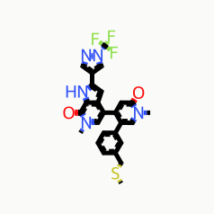 CSCc1cccc(-c2cn(C)c(=O)cc2-c2cn(C)c(=O)c3[nH]c(-c4cnn(C(F)(F)F)c4)cc23)c1